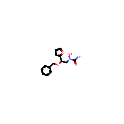 NC(=O)N(O)CC(OCc1ccccc1)c1ccco1